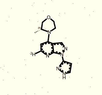 [2H]c1cc(N2CCOC[C@H]2C)c2cnn(-c3cc[nH]n3)c2n1